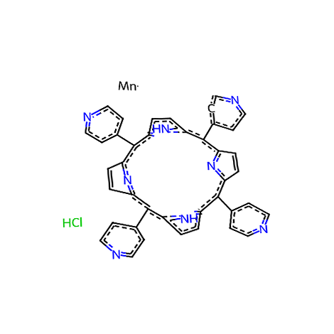 C1=Cc2nc1c(-c1ccncc1)c1ccc([nH]1)c(-c1ccncc1)c1nc(c(-c3ccncc3)c3ccc([nH]3)c2-c2ccncc2)C=C1.Cl.[Mn]